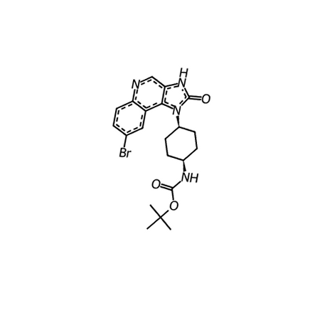 CC(C)(C)OC(=O)N[C@H]1CC[C@@H](n2c(=O)[nH]c3cnc4ccc(Br)cc4c32)CC1